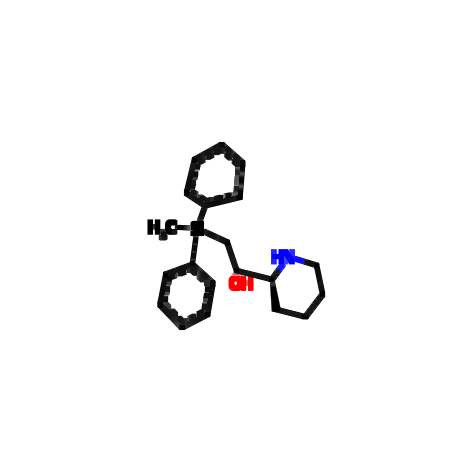 C[Si](C[C@@H](O)[C@@H]1CCCCN1)(c1ccccc1)c1ccccc1